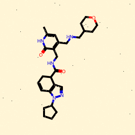 Cc1cc(CNCC2CCOCC2)c(CNC(=O)C2CC=Cc3c2cnn3C2CCCC2)c(=O)[nH]1